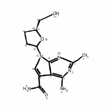 Cc1nc(N)c2c(C(N)=O)cn(C3CC[C@@H](CO)O3)c2n1